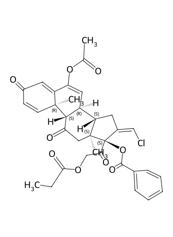 CCC(=O)OCC(=O)[C@@]1(OC(=O)c2ccccc2)C(=CCl)C[C@H]2[C@@H]3C=C(OC(C)=O)C4=CC(=O)C=C[C@]4(C)[C@H]3C(=O)C[C@@]21C